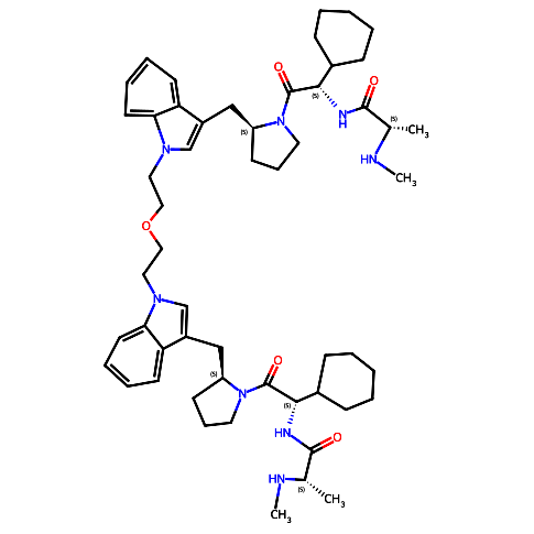 CN[C@@H](C)C(=O)N[C@H](C(=O)N1CCC[C@H]1Cc1cn(CCOCCn2cc(C[C@@H]3CCCN3C(=O)[C@@H](NC(=O)[C@H](C)NC)C3CCCCC3)c3ccccc32)c2ccccc12)C1CCCCC1